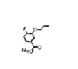 C=CCOc1cc(C(=O)OC)ccc1F